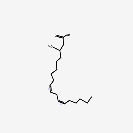 CCCCC/C=C\C/C=C\CCCCCC(O)CC(=O)O